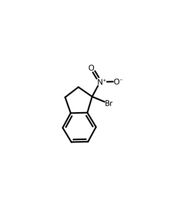 O=[N+]([O-])C1(Br)CCc2ccccc21